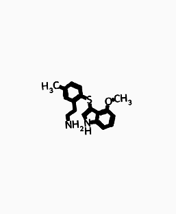 COc1cccc2[nH]cc(Sc3ccc(C)cc3CCN)c12